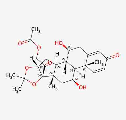 CC(=O)OCC(=O)[C@@]12OC(C)(C)O[C@@H]1C[C@H]1[C@H]3[C@H]([C@@H](O)C[C@@]12C)[C@@]1(C)C=CC(=O)C=C1C[C@@H]3O